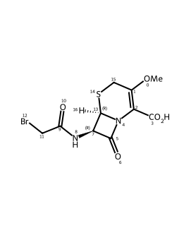 COC1=C(C(=O)O)N2C(=O)[C@@H](NC(=O)CBr)[C@H]2SC1